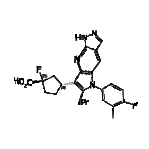 Cc1cc(-n2c(C(C)C)c([C@@H]3CC[C@@](F)(C(=O)O)C3)c3nc4[nH]ncc4cc32)ccc1F